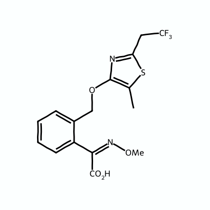 CON=C(C(=O)O)c1ccccc1COc1nc(CC(F)(F)F)sc1C